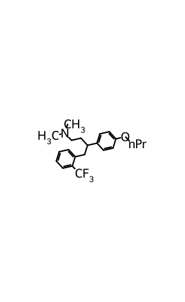 CCCOc1ccc(C(CCN(C)C)Cc2ccccc2C(F)(F)F)cc1